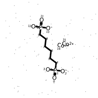 O=P([O-])([O-])CCCCCCP(=O)([O-])[O-].[Co+2].[Co+2]